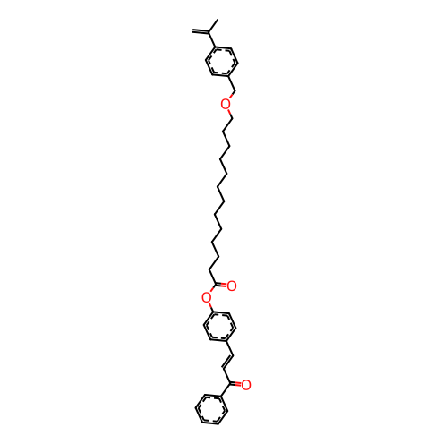 C=C(C)c1ccc(COCCCCCCCCCCCCC(=O)Oc2ccc(C=CC(=O)c3ccccc3)cc2)cc1